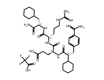 N=C(N)NCCC[C@H](NC(=O)[C@H](CCC(=O)O)NC(=O)[C@H](Cc1ccc(C(=N)N)cc1)C1CCCCC1)C(=O)N[C@@H](CC1CCCCC1)C(N)=O.O=C(O)C(F)(F)F